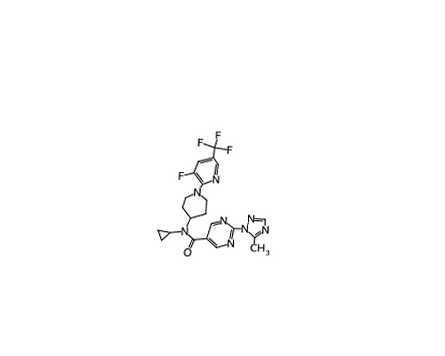 Cc1ncnn1-c1ncc(C(=O)N(C2CC2)C2CCN(c3ncc(C(F)(F)F)cc3F)CC2)cn1